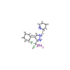 FC(F)(P)c1nn(Cc2ccccn2)cc1-c1ccccc1